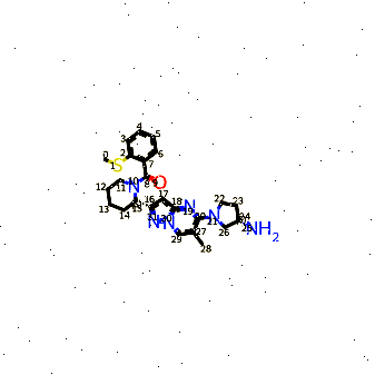 CSc1ccccc1C(=O)N1CCCC[C@H]1c1cc2nc(N3CC[C@H](N)C3)c(C)cn2n1